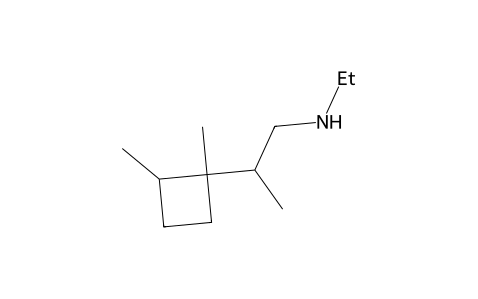 CCNCC(C)C1(C)CCC1C